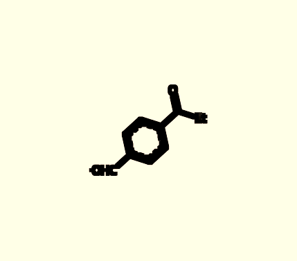 CCC(=O)c1ccc([C]=O)cc1